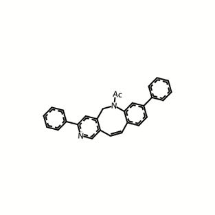 CC(=O)N1Cc2cc(-c3ccccc3)ncc2C=Cc2ccc(-c3ccccc3)cc21